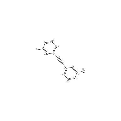 Cc1cnnc(C#Cc2cccc(Cl)c2)n1